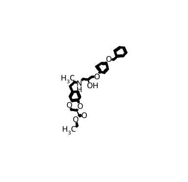 CCOC(=O)[C@H]1COc2cc(C[C@@H](C)NC[C@H](O)COc3ccc(OCc4ccccc4)cc3)ccc2O1